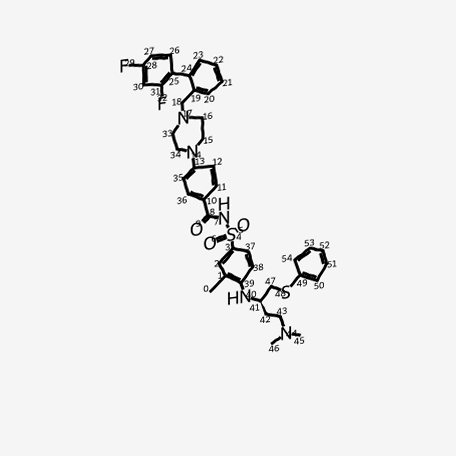 Cc1cc(S(=O)(=O)NC(=O)c2ccc(N3CCN(Cc4ccccc4-c4ccc(F)cc4F)CC3)cc2)ccc1N[C@H](CCN(C)C)CSc1ccccc1